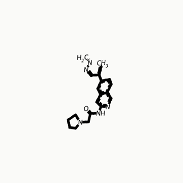 C=N/N=C\C(=C/C)c1ccc2cnc(NC(=O)CN3CCCC3)cc2c1